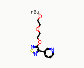 CCCCOCCOCCOc1nsnc1-c1cccnc1